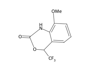 COc1cccc2c1NC(=O)OC2C(F)(F)F